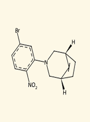 O=[N+]([O-])c1ccc(Br)cc1N1C[C@H]2CC[C@@H](C1)C21CC1